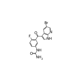 NC(=O)Nc1ccc(F)c(C(=O)c2c[nH]c3ncc(Br)cc23)c1